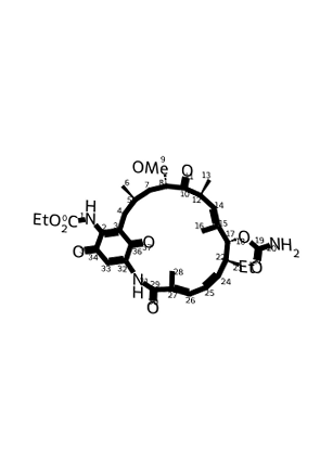 CCOC(=O)NC1=C2C[C@@H](C)C[C@H](OC)C(=O)[C@@H](C)/C=C(\C)[C@H](OC(N)=O)[C@@H](CC)/C=C\C=C(/C)C(=O)NC(=CC1=O)C2=O